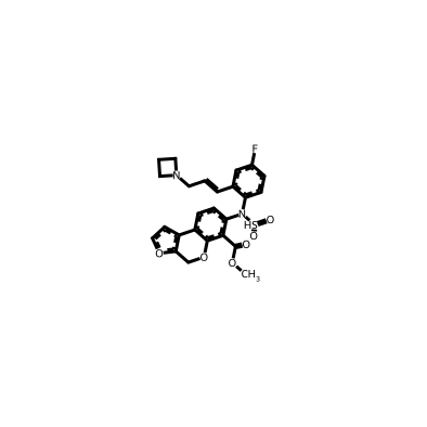 COC(=O)c1c(N(c2ccc(F)cc2C=CCN2CCC2)[SH](=O)=O)ccc2c1OCc1occc1-2